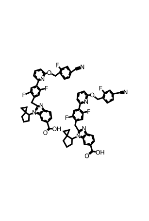 N#Cc1ccc(COc2cccc(-c3cc(F)c(Cc4nc5ccc(C(=O)O)cc5n4C4CCCC45CC5)cc3F)n2)c(F)c1.N#Cc1ccc(COc2cccc(-c3cc(F)c(Cc4nc5ccc(C(=O)O)cc5n4C4CCCC45CC5)cc3F)n2)c(F)c1